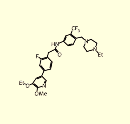 CCOc1cc(-c2ccc(CC(=O)Nc3ccc(CN4CCN(CC)CC4)c(C(F)(F)F)c3)c(F)c2)cnc1OC